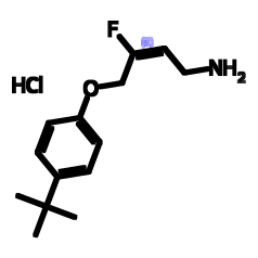 CC(C)(C)c1ccc(OC/C(F)=C\CN)cc1.Cl